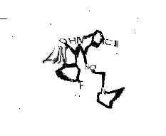 Cl.O=C1Nc2ccc(F)cc2/C1=C1/Nc2ccccc2/C1=N\OCCN1CCCCC1